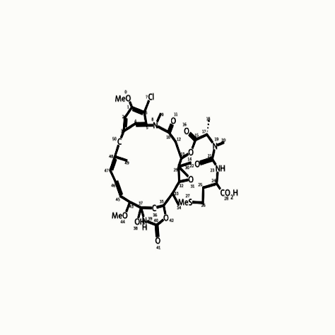 COc1cc2cc(c1Cl)N(C)C(=O)CC(OC(=O)[C@H](C)N(C)C(=O)NC(CCSC)C(=O)O)C1(C)OC1C(C)C1CC(O)(NC(=O)O1)C(OC)/C=C/C=C(\C)C2